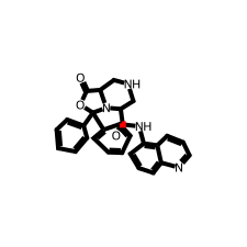 O=C(Nc1cccc2ncccc12)C1CNCC2C(=O)OC(c3ccccc3)(c3ccccc3)N12